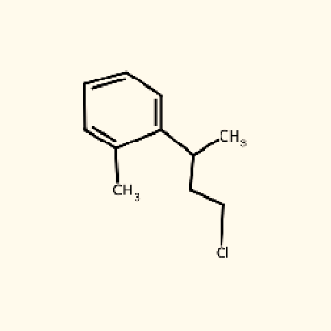 Cc1ccccc1C(C)CCCl